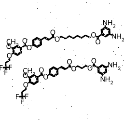 COc1cc(C(=O)Oc2ccc(C=CC(=O)OCCCCCCCCOC(=O)c3cc(N)cc(N)c3)cc2)ccc1OCCC(F)(F)F.COc1cc(C(=O)Oc2ccc(C=CC(=O)OCCCOC(=O)c3cc(N)cc(N)c3)cc2)ccc1OCCC(F)(F)F